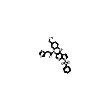 N#CCC1CCC(Nc2c(NC(=O)Cc3cscn3)cnc3c2ccn3S(=O)(=O)c2ccccc2)CC1